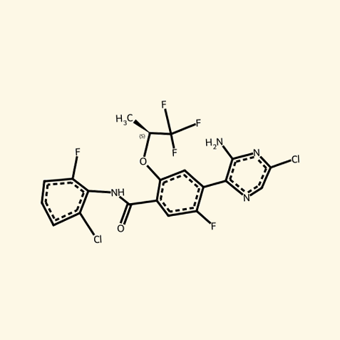 C[C@H](Oc1cc(-c2ncc(Cl)nc2N)c(F)cc1C(=O)Nc1c(F)cccc1Cl)C(F)(F)F